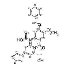 COc1cc(C(=O)N2CCC(c3ccsc3)=C[C@H]2CO)c(NC(=O)O)cc1OCc1ccccc1